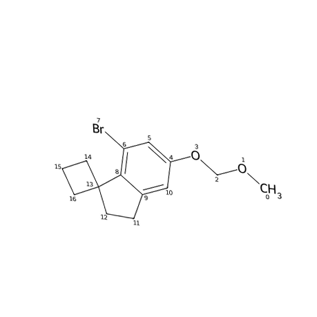 COCOc1cc(Br)c2c(c1)CCC21CCC1